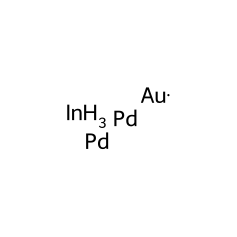 [Au].[InH3].[Pd].[Pd]